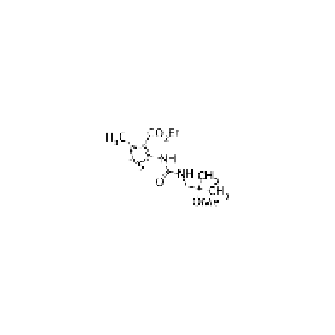 CCOC(=O)c1c(C)csc1NC(=O)NCC(C)(C)OC